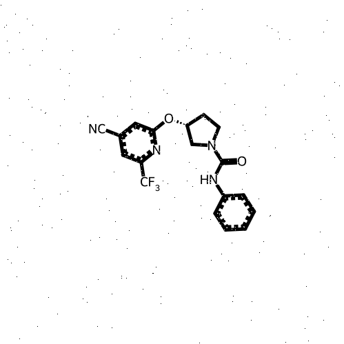 N#Cc1cc(O[C@@H]2CCN(C(=O)Nc3ccccc3)C2)nc(C(F)(F)F)c1